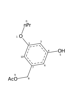 CCCOc1cc(O)cc(COC(C)=O)c1